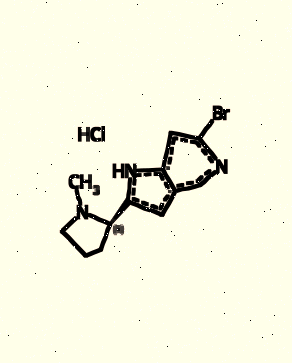 CN1CCC[C@@H]1c1cc2cnc(Br)cc2[nH]1.Cl